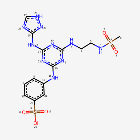 CS(=O)(=O)NCCNc1nc(Nc2cccc(S(=O)(=O)O)c2)nc(Nc2nc[nH]n2)n1